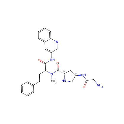 CN(C(=O)[C@@H]1C[C@@H](NC(=O)CN)CN1)C(CCc1ccccc1)C(=O)Nc1cnc2ccccc2c1